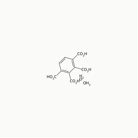 O.O.O=C(O)c1ccc(C(=O)O)c(C(=O)O)c1C(=O)O